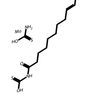 CCCCCCCCC=CCCCCCCCC(=O)NC(O)=S.NC(O)=S.[Mo]